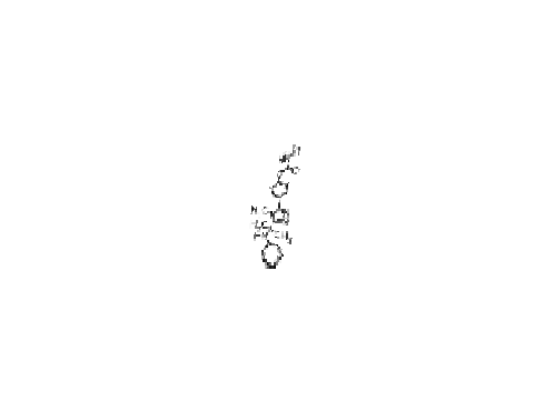 CCNC(=O)Oc1ccc(-c2nnc(C(C)(C)Nc3ccccc3)n2C)cc1